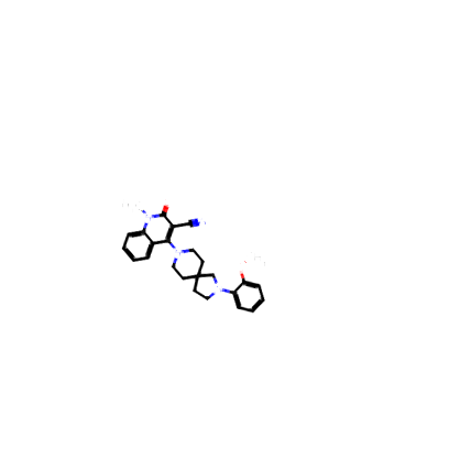 COc1ccccc1N1CCC2(CCN(c3c(C#N)c(=O)n(C)c4ccccc34)CC2)C1